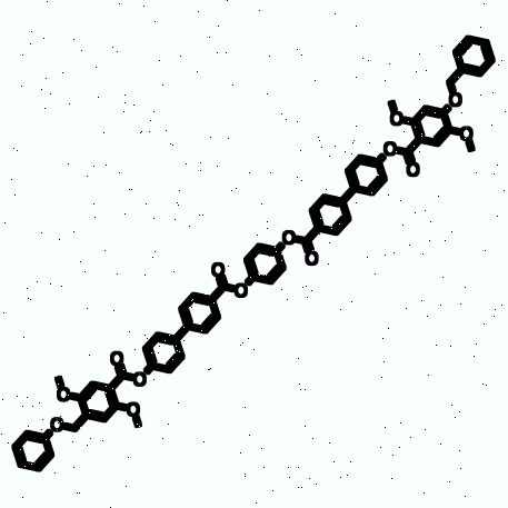 COc1cc(C(=O)Oc2ccc(-c3ccc(C(=O)Oc4ccc(OC(=O)c5ccc(-c6ccc(OC(=O)c7cc(OC)c(OCc8ccccc8)cc7OC)cc6)cc5)cc4)cc3)cc2)c(OC)cc1COc1ccccc1